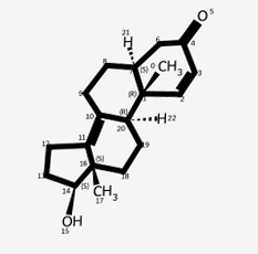 C[C@]12C=CC(=O)C[C@@H]1CCC1=C3CC[C@H](O)[C@@]3(C)CC[C@@H]12